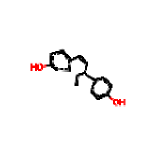 C=C[C@@H](/C=C\c1ccc(O)cc1)c1ccc(O)cc1